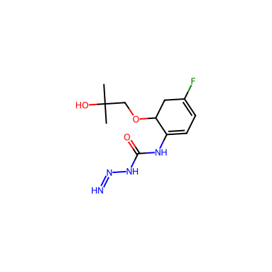 CC(C)(O)COC1CC(F)=CC=C1NC(=O)NN=N